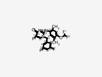 Cc1cc(OC(F)F)c(C)cc1Nc1nc(=O)c(F)cn1Cc1cc(F)cc(F)c1